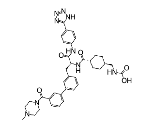 CN1CCN(C(=O)c2cccc(-c3cccc(C[C@H](NC(=O)[C@H]4CC[C@H](CNC(=O)O)CC4)C(=O)Nc4ccc(-c5nnn[nH]5)cc4)c3)c2)CC1